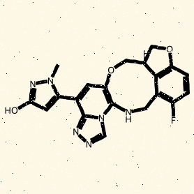 Cn1nc(O)cc1-c1cc2c(n3cnnc13)NCc1c(F)ccc3c1[C@H](CO3)CO2